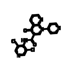 O=C(Nc1c(Cl)cncc1Cl)c1cn(-c2ccncc2)c2ncccc2c1=O